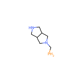 PCN1CC2CNCC2C1